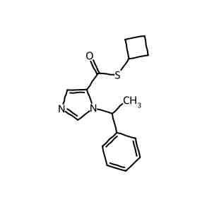 CC(c1ccccc1)n1cncc1C(=O)SC1CCC1